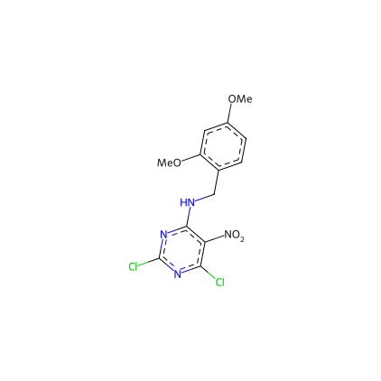 COc1ccc(CNc2nc(Cl)nc(Cl)c2[N+](=O)[O-])c(OC)c1